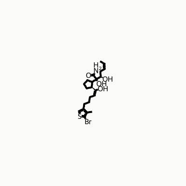 C/C=C\C[C@@H](O)C(O)(C(N)=O)C1CCC[C@@H]1/C(O)=C\CCCc1csc(Br)c1C